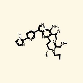 CCCN(C(=O)COC)[C@H](CC)CCc1nc2c(-c3ccc(-c4ncc[nH]4)nc3)cnn2c(N)c1C(C)=O